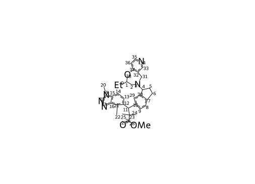 CCC1CN(C2CCc3ccc(C(c4ccc5c(nnn5C)c4C)C(C)(C)C(=O)OC)cc32)Cc2cnccc2O1